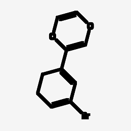 BrC1=CCCC(C2=COC=CO2)=C1